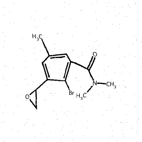 Cc1cc(C(=O)N(C)C)c(Br)c(C2CO2)c1